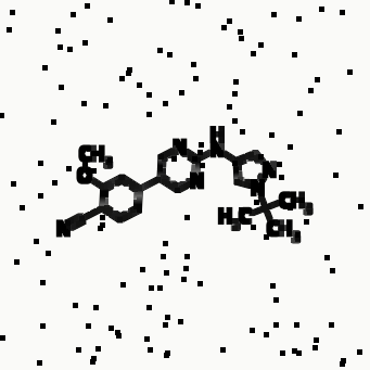 COc1cc(-c2cnc(Nc3cnn(C(C)(C)C)c3)nc2)ccc1C#N